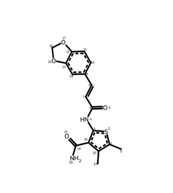 Cc1sc(NC(=O)C=Cc2ccc3c(c2)OCO3)c(C(N)=O)c1C